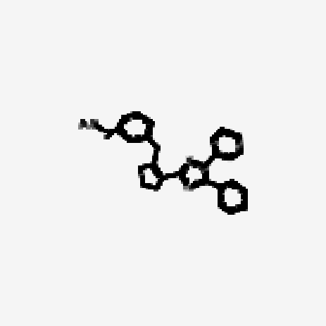 CC(=O)OOc1cccc(CC2=C(c3nc(-c4ccccc4)c(-c4ccccc4)o3)CCC2)c1